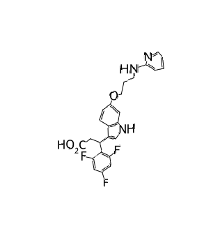 O=C(O)CC(c1c(F)cc(F)cc1F)c1c[nH]c2cc(OCCCNc3ccccn3)ccc12